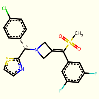 CS(=O)(=O)C(=C1CN([C@@H](c2ccc(Cl)cc2)c2nccs2)C1)c1cc(F)cc(F)c1